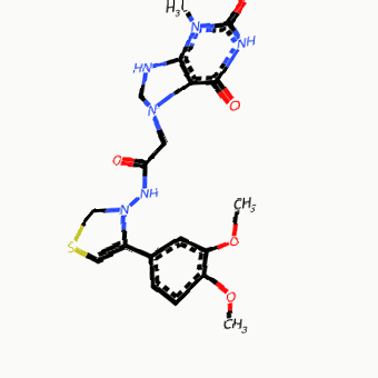 COc1ccc(C2=CSCN2NC(=O)CN2CNc3c2c(=O)[nH]c(=O)n3C)cc1OC